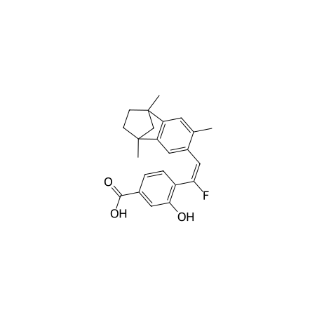 Cc1cc2c(cc1/C=C(/F)c1ccc(C(=O)O)cc1O)C1(C)CCC2(C)C1